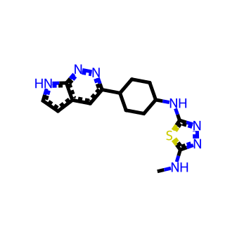 CNc1nnc(NC2CCC(c3cc4cc[nH]c4nn3)CC2)s1